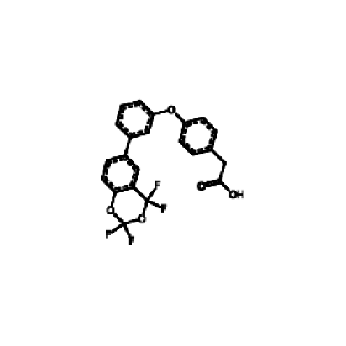 O=C(O)Cc1ccc(Oc2cccc(-c3ccc4c(c3)C(F)(F)OC(F)(F)O4)c2)cc1